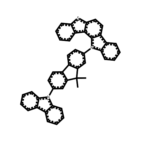 CC1(C)c2cc(-n3c4ccccc4c4ccccc43)ccc2-c2ccc(-n3c4ccccc4c4ccc5sc6ccccc6c5c43)cc21